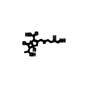 CC(O)[C@H]1C(=O)N2C(C(=O)O)=C(CSCCNC=N)C[C@H]12